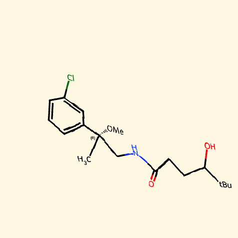 CO[C@@](C)(CNC(=O)CCC(O)C(C)(C)C)c1cccc(Cl)c1